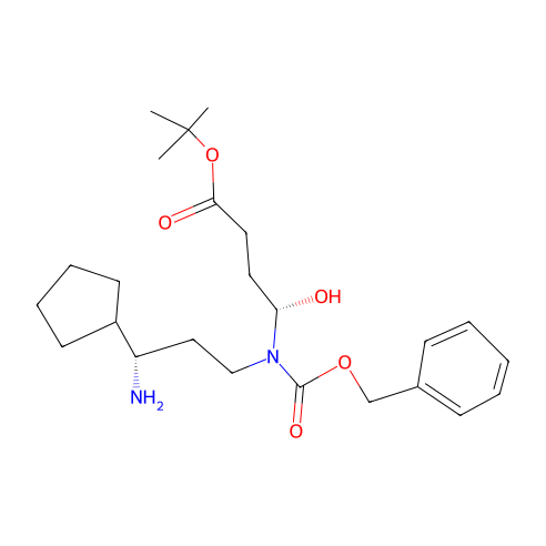 CC(C)(C)OC(=O)CC[C@H](O)N(CC[C@H](N)C1CCCC1)C(=O)OCc1ccccc1